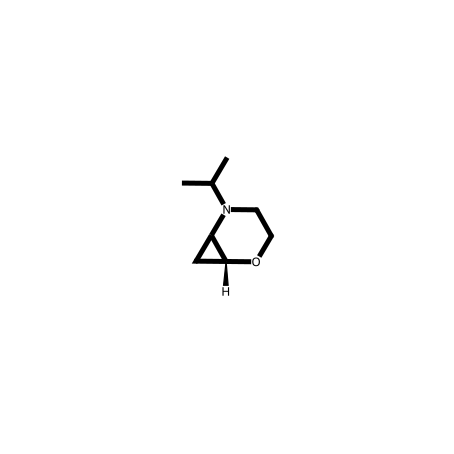 CC(C)N1CCO[C@@H]2CC21